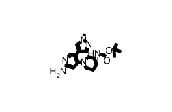 Cn1cc(-c2cnc(N)cc2N2CCC[C@H](NC(=O)OC(C)(C)C)C2)cn1